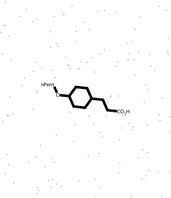 CCCCCOC1CCC(CCC(=O)O)CC1